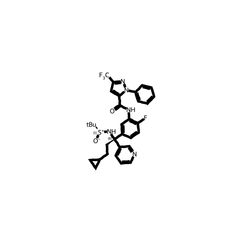 CC(C)(C)[S@@+]([O-])N[C@@](CCC1CC1)(c1cccnc1)c1ccc(F)c(NC(=O)c2cc(C(F)(F)F)nn2-c2c[c]ccc2)c1